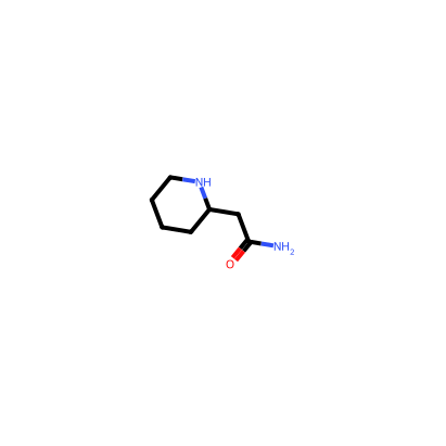 NC(=O)CC1CCCCN1